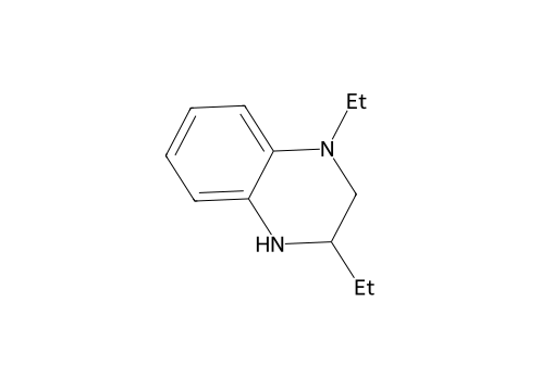 CCC1CN(CC)c2ccccc2N1